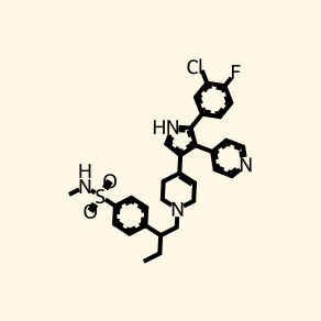 CCC(CN1CC=C(c2c[nH]c(-c3ccc(F)c(Cl)c3)c2-c2ccncc2)CC1)c1ccc(S(=O)(=O)NC)cc1